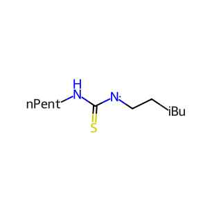 CCCCCNC(=S)[N]CCC(C)CC